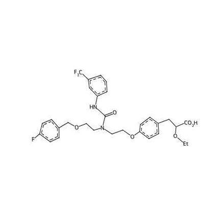 CCOC(Cc1ccc(OCCN(CCOCc2ccc(F)cc2)C(=O)Nc2cccc(C(F)(F)F)c2)cc1)C(=O)O